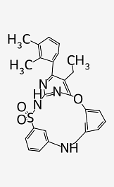 CCc1c2nc(nc1-c1cccc(C)c1C)NS(=O)(=O)c1cccc(c1)NCc1cccc(c1)O2